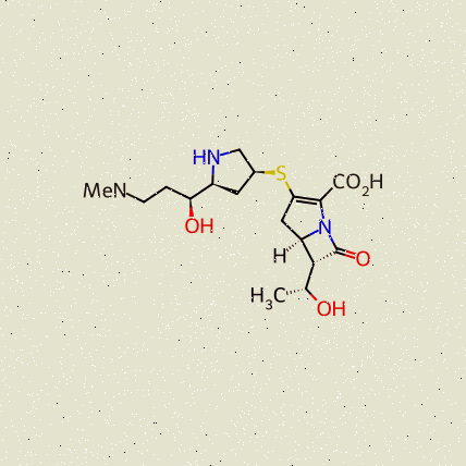 CNCC[C@H](O)[C@@H]1C[C@H](SC2=C(C(=O)O)N3C(=O)[C@H]([C@@H](C)O)[C@H]3C2)CN1